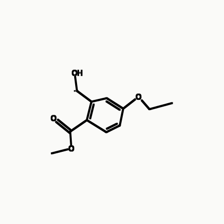 CCOc1ccc(C(=O)OC)c([CH]O)c1